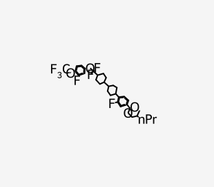 CCCC1COC(c2ccc(C3CCC(C4CCC(C(F)(F)Oc5ccc(OC(F)(F)F)c(F)c5)CC4)CC3)c(F)c2)OC1